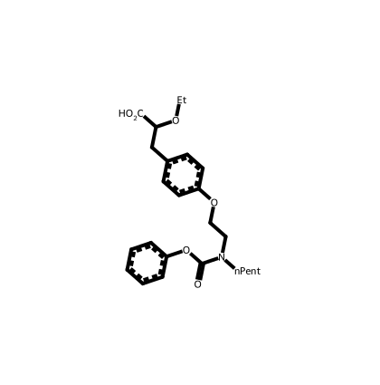 CCCCCN(CCOc1ccc(CC(OCC)C(=O)O)cc1)C(=O)Oc1ccccc1